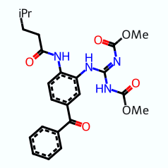 COC(=O)N=C(NC(=O)OC)Nc1cc(C(=O)c2ccccc2)ccc1NC(=O)CCC(C)C